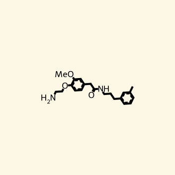 COc1cc(CC(=O)NCCCc2cccc(C)c2)ccc1OCCN